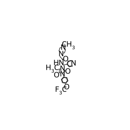 CC1C(=O)N(c2ccc(OC(F)(F)F)cc2)C(=O)N1C(NC(=O)CN1CCN(C)CC1)c1ccncc1